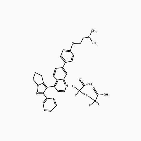 CN(C)CCOc1ccc(-c2ccc3c(-c4c(-c5ccccn5)nn5c4CCC5)ccnc3c2)cc1.O=C(O)C(F)(F)F.O=C(O)C(F)(F)F